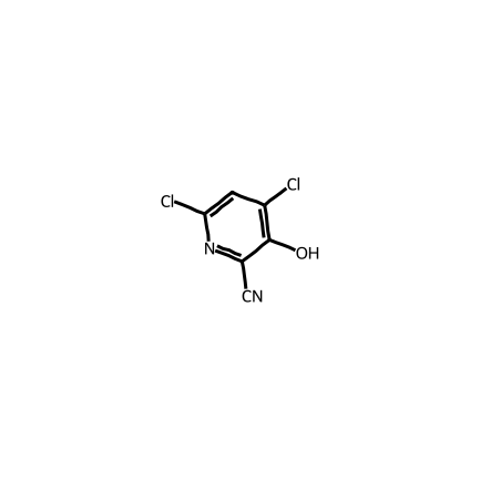 N#Cc1nc(Cl)cc(Cl)c1O